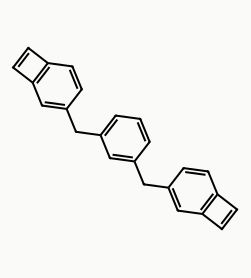 C1=Cc2cc(Cc3cccc(Cc4ccc5c(c4)C=C5)c3)ccc21